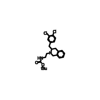 CC(C)(C)OC(=O)NCCN1Cc2ccccc2CC1Cc1ccc(Cl)c(Cl)c1